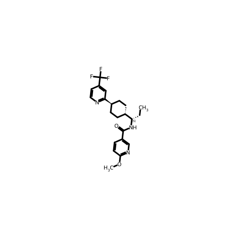 CC[C@H](NC(=O)c1ccc(OC)nc1)[C@H]1CC[C@H](c2cc(C(F)(F)F)ccn2)CC1